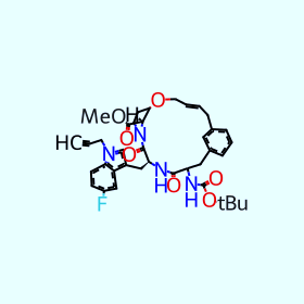 C#CCn1cc(C[C@@H]2NC(=O)C(NC(=O)OC(C)(C)C)Cc3cccc(c3)C/C=C/COC3CCN(C2=O)[C@@H]3C(=O)OC)c2cc(F)ccc21